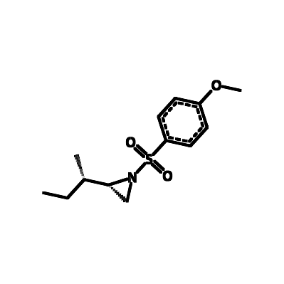 CC[C@H](C)[C@H]1CN1S(=O)(=O)c1ccc(OC)cc1